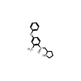 Cc1cc(Oc2ccccc2)ccc1[S+]([O-])CC1CCCN1